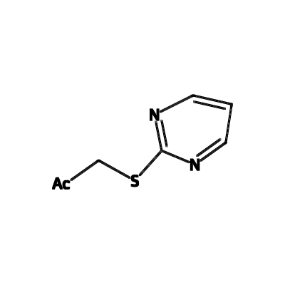 CC(=O)CSc1ncccn1